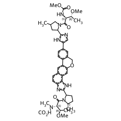 COC(=O)N[C@H](C(=O)N1CC(C)CC1c1ncc(-c2ccc3c(c2)COc2cc4c(ccc5nc(C6CC[C@H](C)N6C(=O)[C@H]([C@@H](C)OC)N(C)C(=O)O)[nH]c54)cc2-3)[nH]1)[C@@H](C)OC